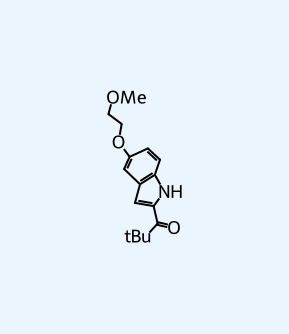 COCCOc1ccc2[nH]c(C(=O)C(C)(C)C)cc2c1